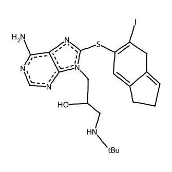 CC(C)(C)NCC(O)Cn1c(SC2=C(I)CC3=CCCC3=C2)nc2c(N)ncnc21